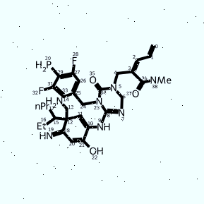 C=C/C=C(/CN1CN=C(NC2=CC(CN)(C(CC)CCC)C(=N)C=C2O)N(Cc2cc(F)c(P)c(F)c2)C1=O)C(=O)NC